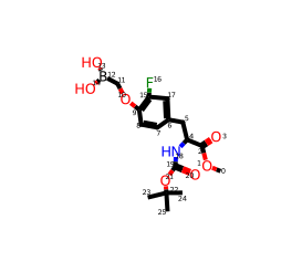 COC(=O)C(Cc1ccc(OCB(O)O)c(F)c1)NC(=O)OC(C)(C)C